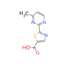 Cc1ccnc(-c2ncc(C(=O)O)s2)n1